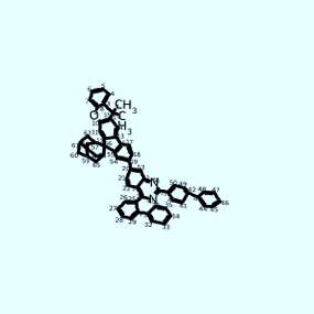 CC1(C)c2ccccc2Oc2cc3c(cc21)-c1ccc(-c2ccc4c(-c5ccccc5-c5ccccc5)nc(-c5ccc(-c6ccccc6)cc5)nc4c2)cc1C31C2CC3CC(C2)CC1C3